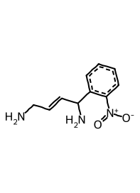 NC/C=C/C(N)c1ccccc1[N+](=O)[O-]